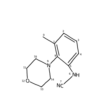 Cc1cccc(NC#N)c1N1CCOCC1